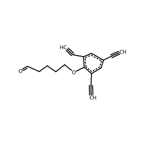 C#Cc1cc(C#C)c(OCCCCC=O)c(C#C)c1